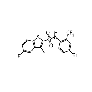 Cc1c(S(=O)(=O)Nc2ccc(Br)cc2C(F)(F)F)sc2ccc(F)cc12